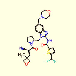 CC1(C=C(C#N)C(=O)N2CCCC2Cn2c(NC(=O)c3ccc(C(F)F)s3)nc3cc(CN4CCOCC4)ccc32)COC1